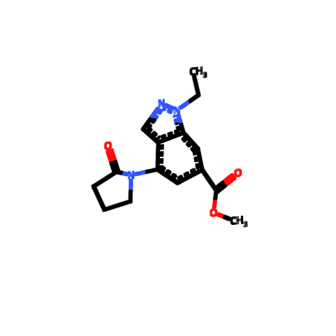 CCn1ncc2c(N3CCCC3=O)cc(C(=O)OC)cc21